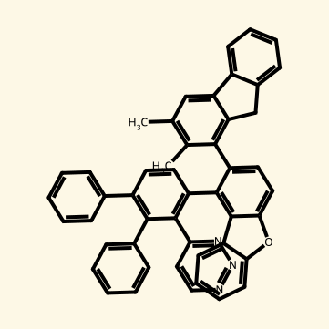 Cc1cc2c(c(-c3ccc4oc5ccccc5c4c3-c3ccc(-c4ccccc4)c(-c4ccccc4)c3-c3ccnnn3)c1C)Cc1ccccc1-2